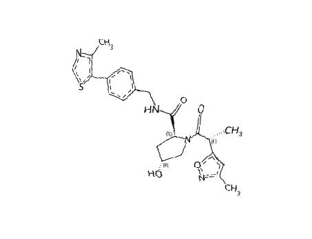 Cc1cc([C@@H](C)C(=O)N2C[C@H](O)C[C@H]2C(=O)NCc2ccc(-c3scnc3C)cc2)on1